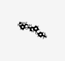 C[C@H](NC(=O)c1cnc2c(Oc3ccc(C(F)(F)F)cc3)cccc2c1)c1cccc2nc[nH]c12